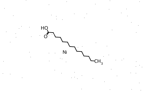 CCCCCCCCCCCCCC(=O)O.[Ni]